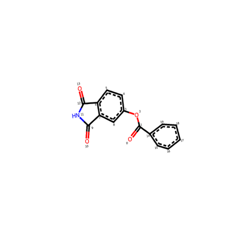 O=C(Oc1ccc2c(c1)C(=O)NC2=O)c1ccccc1